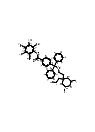 CCCC1(CCOC(c2ccccc2)(c2ccccc2)c2ccc(C(=O)Oc3c(F)c(F)c(F)c(F)c3F)cc2)CC(C)C[C@@H](C)C1